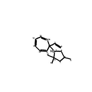 C=CC1([SiH]2CC(C)CC2(C)C)C=CC=CC=N1